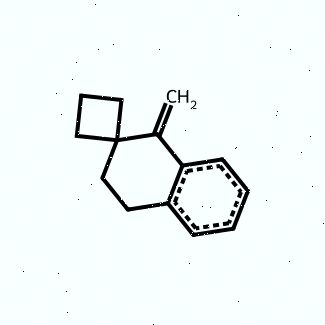 C=C1c2ccccc2CCC12CCC2